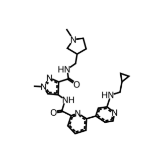 CN1CCC(CNC(=O)c2nn(C)cc2NC(=O)c2cccc(-c3ccnc(NCC4CC4)c3)n2)C1